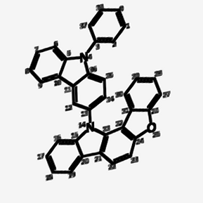 c1ccc(-n2c3ccccc3c3cc(-n4c5ccccc5c5ccc6oc7ccccc7c6c54)ccc32)cc1